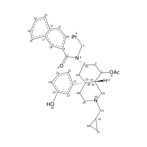 CC(=O)OC1C[C@@H](N(CC(C)C)C(=O)c2ccc3ccccc3c2)C[C@]2(c3cccc(O)c3)CCN(CC3CC3)C[C@@H]12